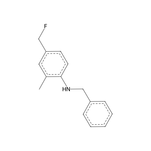 Cc1cc(CF)ccc1NCc1ccccc1